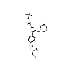 CC(C)(O)c1nnc(-c2nc(CN3CCCC(F)(F)C3)c(-c3ccc(S(=O)(=O)NC(CCF)C(F)F)c(Cl)c3Cl)s2)o1